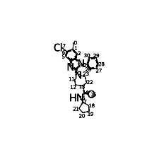 Cc1cc2c(cc1Cl)nc(N1CCC(C(=O)NC3CCCC3)CC1)n2-c1ccccc1